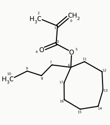 C=C(C)C(=O)OC1(CCCC)CCCCCCC1